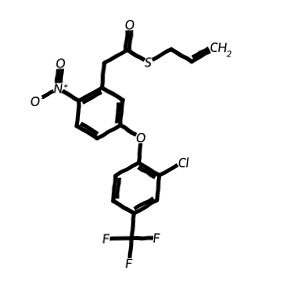 C=CCSC(=O)Cc1cc(Oc2ccc(C(F)(F)F)cc2Cl)ccc1[N+](=O)[O-]